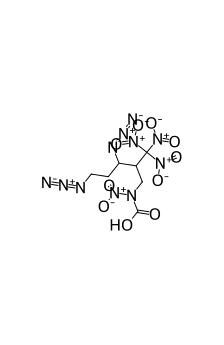 [N-]=[N+]=NCCC(N=[N+]=[N-])C(CN(C(=O)O)[N+](=O)[O-])C([N+](=O)[O-])([N+](=O)[O-])[N+](=O)[O-]